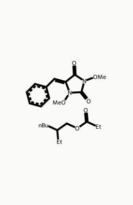 CCCCC(CC)COC(=O)CC.CON1C(=O)C(=Cc2ccccc2)N(OC)C1=O